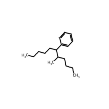 CCCCCC(c1[c]cccc1)C(C)CCCC